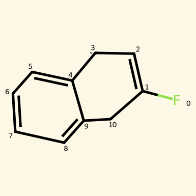 FC1=C[CH]c2ccccc2C1